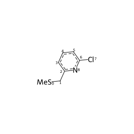 CSCc1cccc(Cl)n1